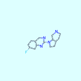 Fc1ccc2cnc(-n3ccc4ccncc43)nc2c1